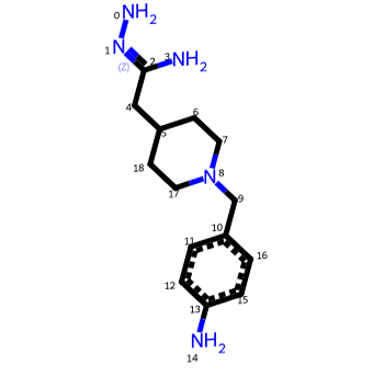 N/N=C(\N)CC1CCN(Cc2ccc(N)cc2)CC1